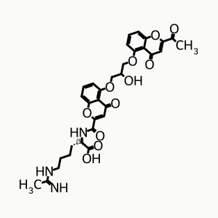 CC(=N)NCCCC[C@H](NC(=O)c1cc(=O)c2c(OCC(O)COc3cccc4oc(C(C)=O)cc(=O)c34)cccc2o1)C(=O)O